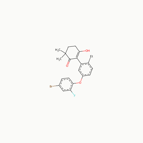 CCc1ccc(Oc2ccc(Br)cc2F)cc1C1=C(O)CCC(C)(C)C1=O